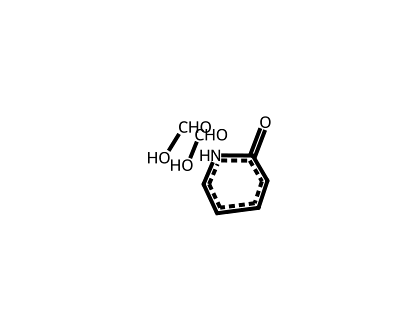 O=CO.O=CO.O=c1cccc[nH]1